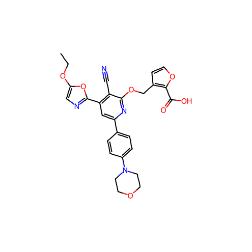 CCOc1cnc(-c2cc(-c3ccc(N4CCOCC4)cc3)nc(OCc3ccoc3C(=O)O)c2C#N)o1